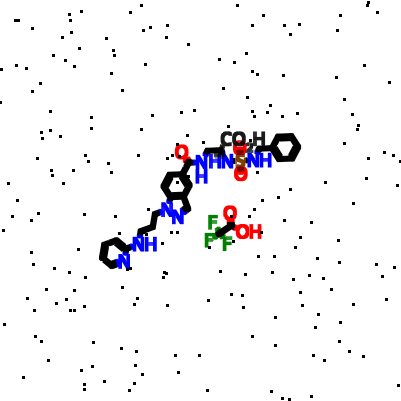 O=C(NC[C@H](NS(=O)(=O)NCc1ccccc1)C(=O)O)c1ccc2c(cnn2CCCNc2ccccn2)c1.O=C(O)C(F)(F)F